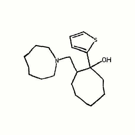 OC1(c2cccs2)CCCCCC1CN1CCCCCC1